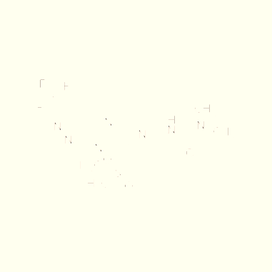 CN(C)C(=O)Nc1ccc(S(C)(=O)=O)c(-c2nc3cc(C(F)(F)F)nnc3n2C)n1